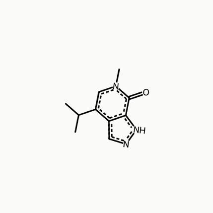 CC(C)c1cn(C)c(=O)c2[nH]ncc12